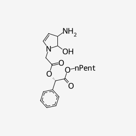 CCCCCOC(=O)[C@@H](OC(=O)CN1C=CC(N)C1O)c1ccccc1